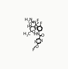 C[C@H]1C[C@H]2OC(N)=N[C@](CF)(c3cc(NC(=O)c4cnc(OCF)cn4)ccc3F)[C@H]2CO1